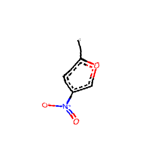 [CH]c1cc([N+](=O)[O-])co1